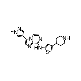 Cn1cc(-c2cnc3c(Nc4cc(C5CCNCC5)cs4)nccn23)cn1